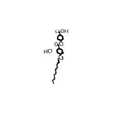 CCCCCCCCCCOc1ccc(C(=O)Oc2ccc(C(=O)O)cc2)cc1.Cl